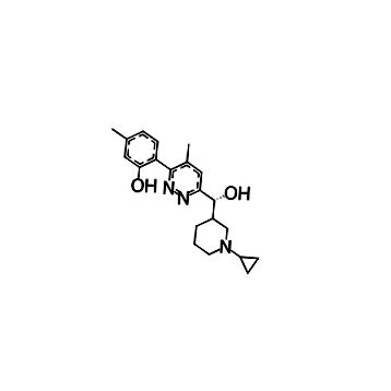 Cc1ccc(-c2nnc([C@H](O)C3CCCN(C4CC4)C3)cc2C)c(O)c1